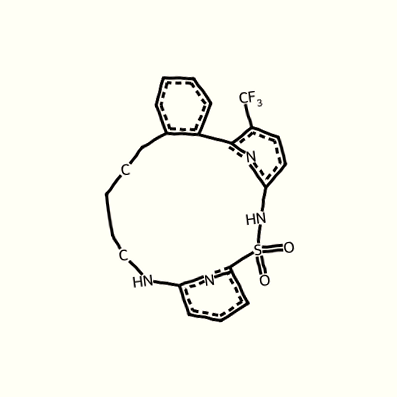 O=S1(=O)Nc2ccc(C(F)(F)F)c(n2)-c2ccccc2CCCCCNc2cccc1n2